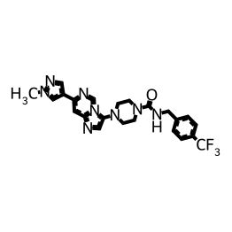 Cn1cc(-c2cc3ncc(N4CCN(C(=O)NCc5ccc(C(F)(F)F)cc5)CC4)n3cn2)cn1